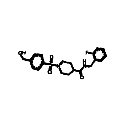 O=C(NCc1ccccc1F)C1CCN(S(=O)(=O)c2ccc(CO)cc2)CC1